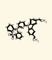 C=Cc1ccc2c(c1)c1cc(C=C)ccc1n2-c1cccc(N2c3ccccc3S(=O)(=O)c3ccccc32)n1